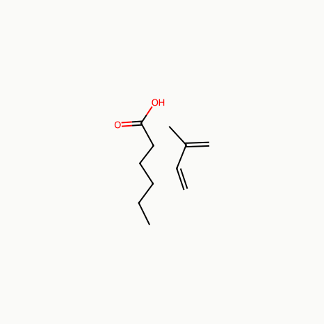 C=CC(=C)C.CCCCCC(=O)O